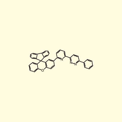 c1ccc(-c2ccc(-c3cccc(-c4ccc5c(c4)C4(c6ccccc6O5)c5ccccc5-c5ccccc54)n3)nn2)cc1